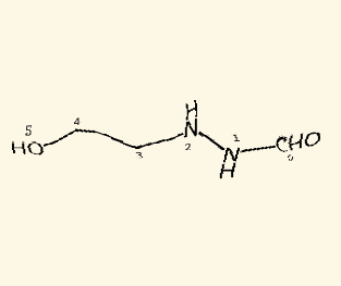 O=CNNCCO